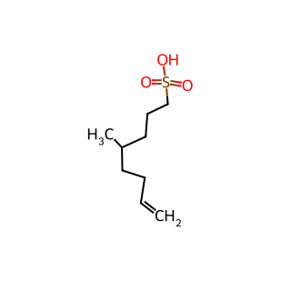 C=CCCC(C)CCCS(=O)(=O)O